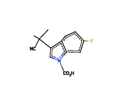 CC(C)(C#N)c1cn(C(=O)O)c2cc(F)ccc12